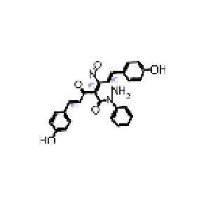 NN(C(=O)/C(C(=O)/C=C/c1ccc(O)cc1)=C(\C=C\c1ccc(O)cc1)N=O)c1ccccc1